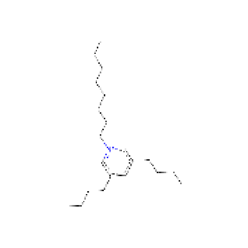 CCCCCCCC[n+]1cc(CCCC)cc(CCCC)c1